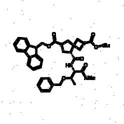 CNC(=O)[C@@H](NC(=O)[C@@H]1CN(C(=O)OCC2c3ccccc3-c3ccccc32)CC12CN(C(=O)OC(C)(C)C)C2)[C@@H](C)OCc1ccccc1